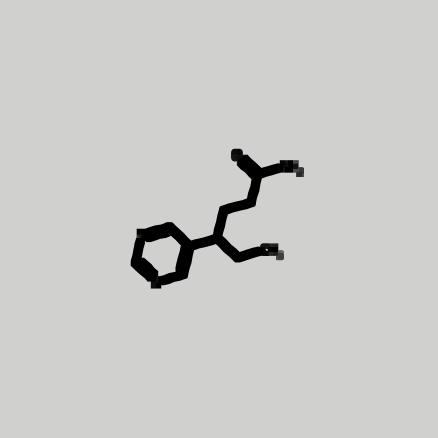 CCC(CCC(N)=O)c1cncnc1